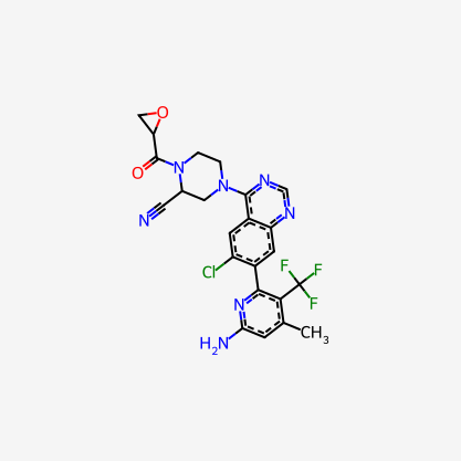 Cc1cc(N)nc(-c2cc3ncnc(N4CCN(C(=O)C5CO5)C(C#N)C4)c3cc2Cl)c1C(F)(F)F